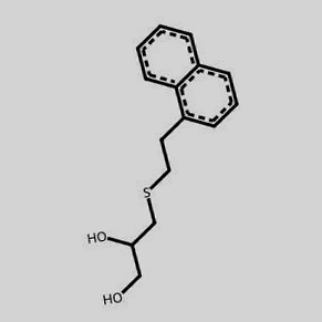 OCC(O)CSCCc1cccc2ccccc12